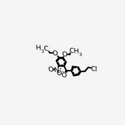 CCOc1cc(C(=O)c2ccc(CCCl)cc2)c([N+](=O)[O-])cc1OCC